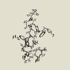 C=CC(=O)Nc1cc(Nc2cc(N3OCCC3c3ccc(F)cc3F)ncn2)c(OC)cc1N1CCN(CC2CC2)CC1